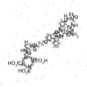 CCC(=O)NCCNC(=O)/N=C(/N)NCCC[C@@H](NC(=O)[C@@H](c1ccccc1)c1cccc(OCCCCNC(=O)CC[C@H](C)NC(=O)CN2CCN(CC(=O)O)CCN(CC(=O)O)CCN(CC(=O)O)CC2)c1)C(=O)NCc1ccc(O)cc1